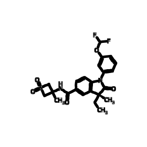 CC[C@@]1(C)C(=O)N(c2cccc(OC(F)F)c2)c2ccc(C(=O)NC3(C)CS(=O)(=O)C3)cc21